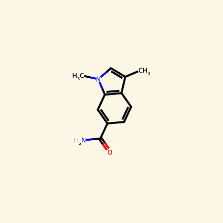 Cc1cn(C)c2cc(C(N)=O)ccc12